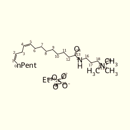 CCCCC/C=C\C/C=C\CCCCCCCC(=O)NCCC[N+](C)(C)C.CCOS(=O)(=O)[O-]